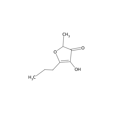 CCCC1=C(O)C(=O)C(C)O1